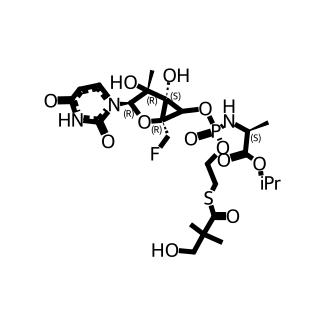 CC(C)OC(=O)[C@H](C)NP(=O)(OCCSC(=O)C(C)(C)CO)OC1[C@]2(O)[C@@](C)(O)[C@H](n3ccc(=O)[nH]c3=O)O[C@]12CF